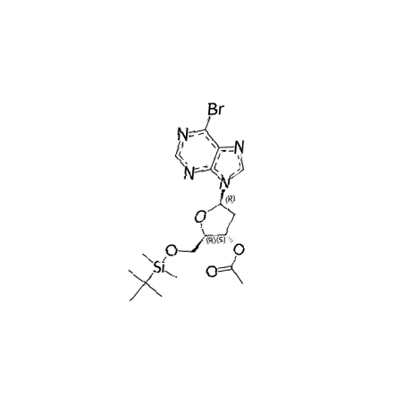 CC(=O)O[C@H]1C[C@H](n2cnc3c(Br)ncnc32)O[C@@H]1CO[Si](C)(C)C(C)(C)C